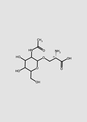 CC(=O)NC1C(OC[C@H](N)C(=O)O)OC(CO)C(O)C1O